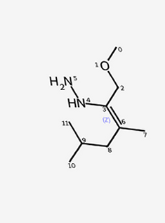 COC/C(NN)=C(\C)CC(C)C